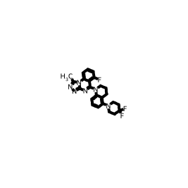 Cc1nnc2nc(N3CCCc4c(N5CCC(F)(F)CC5)cccc43)c3c(F)cccc3n12